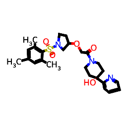 Cc1cc(C)c(S(=O)(=O)N2CCC(OCC(=O)N3CCC(O)(c4ccccn4)CC3)C2)c(C)c1